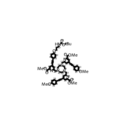 COC(=O)c1cc(C#Cc2ccc(OC)cc2)cc(CN2CCN(Cc3cc(C#Cc4ccc(OC)cc4)cc(C(=O)OC)n3)CCN(Cc3cc(C#Cc4ccc(OCCCNC(=O)OC(C)(C)C)cc4)cc(C(=O)OC)n3)CC2)n1